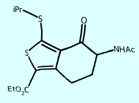 CCOC(=O)c1sc(SC(C)C)c2c1CCC(NC(C)=O)C2=O